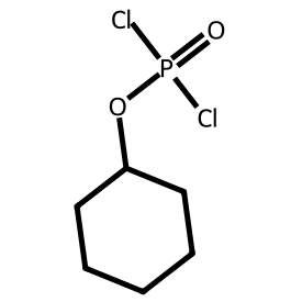 O=P(Cl)(Cl)OC1CCCCC1